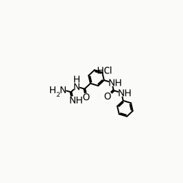 Cl.N=C(N)NC(=O)c1cccc(NC(=O)Nc2ccccc2)c1